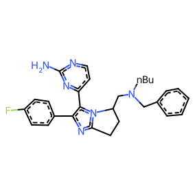 CCCCN(Cc1ccccc1)CC1CCc2nc(-c3ccc(F)cc3)c(-c3ccnc(N)n3)n21